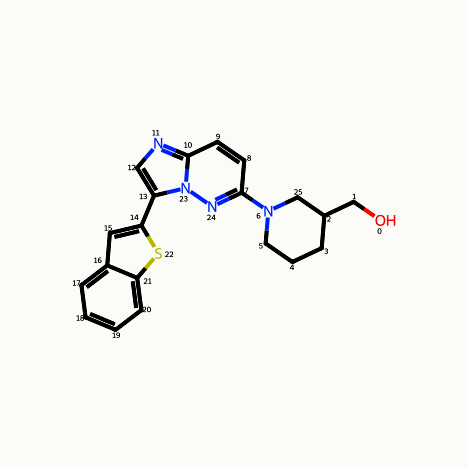 OCC1CCCN(c2ccc3ncc(-c4cc5ccccc5s4)n3n2)C1